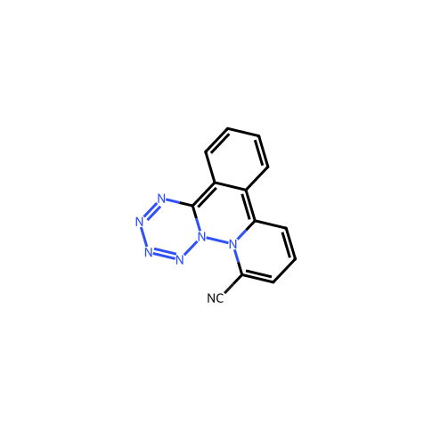 N#CC1=CC=CC2=c3ccccc3=C3N=NN=NN3N12